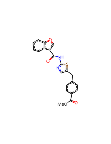 COC(=O)c1ccc(Cc2cnc(NC(=O)c3coc4ccccc34)s2)cc1